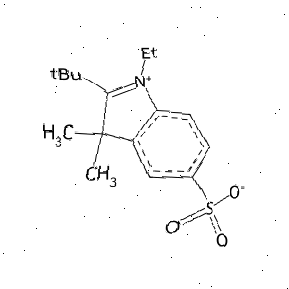 CC[N+]1=C(C(C)(C)C)C(C)(C)c2cc(S(=O)(=O)[O-])ccc21